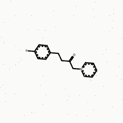 O=C(CCc1ccc(F)cc1)C[n+]1ccccc1